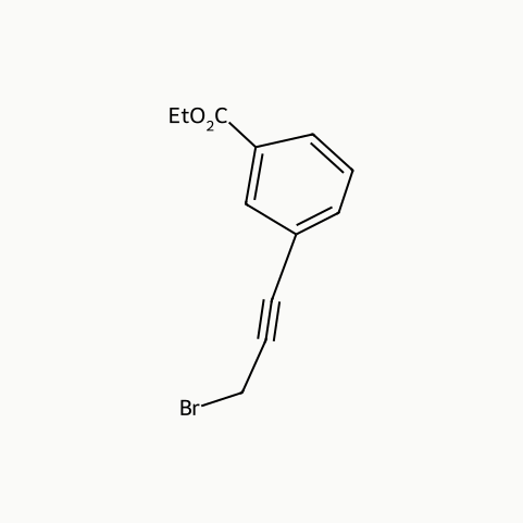 CCOC(=O)c1cccc(C#CCBr)c1